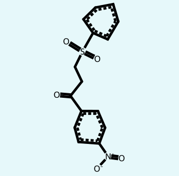 O=C(CCS(=O)(=O)c1ccccc1)c1ccc([N+](=O)[O-])cc1